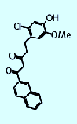 COc1cc(CCC(=O)CC(=O)c2ccc3ccccc3c2)c(Cl)cc1O